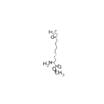 CCC(=O)CCCCCCCC(N)C(=O)OC